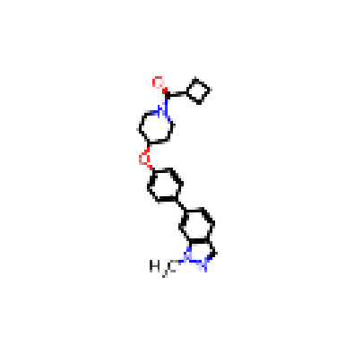 Cn1ncc2ccc(-c3ccc(OC4CCN(C(=O)C5CCC5)CC4)cc3)cc21